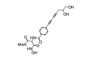 CNC(=O)C(NC(=O)c1ccc(C#CC#CCC(O)CO)cc1)C(=O)NO